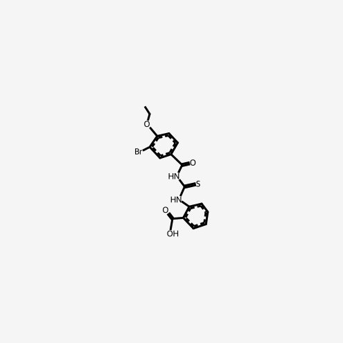 CCOc1ccc(C(=O)NC(=S)Nc2ccccc2C(=O)O)cc1Br